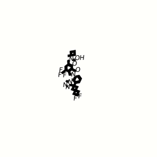 Cn1cnnc1C1(c2cccc(N3Cc4c(cc(CN(C(=O)O)C5(C)CCC5)cc4C(F)(F)F)C3=O)c2)CC2(CC(F)(F)C2)C1